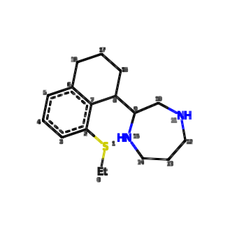 CCSc1cccc2c1C(C1CNCCCN1)CCC2